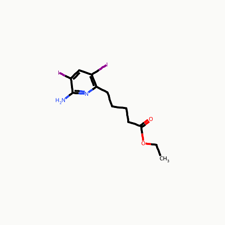 CCOC(=O)CCCCc1nc(N)c(I)cc1I